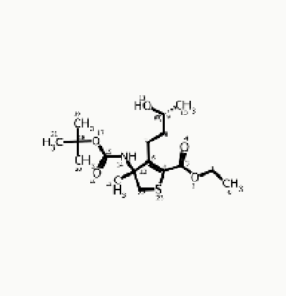 CCOC(=O)C1=C(CC[C@@H](C)O)C(C)(NC(=O)OC(C)(C)C)CS1